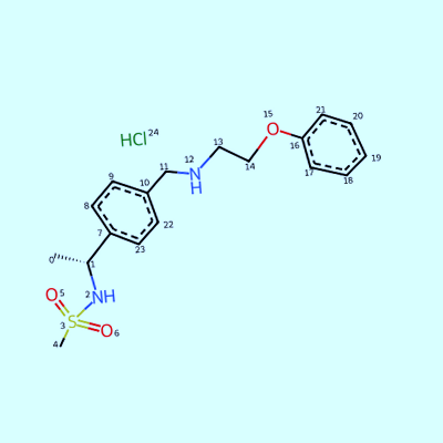 C[C@@H](NS(C)(=O)=O)c1ccc(CNCCOc2ccccc2)cc1.Cl